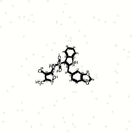 Cc1noc(NS(=O)(=O)c2c(Cc3ccc4c(c3)OCO4)[nH]c3ccccc23)c1Cl